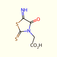 N=C1SC(=S)N(CC(=O)O)C1=O